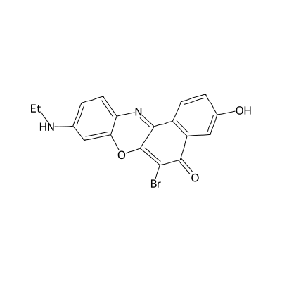 CCNc1ccc2nc3c4ccc(O)cc4c(=O)c(Br)c-3oc2c1